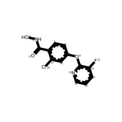 O=C(NO)c1ccc(Oc2ncccc2F)cc1Cl